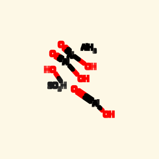 O=S(=O)(O)O.[AlH3].[O]=[Al][OH].[O]=[Al][OH].[O]=[Al][OH]